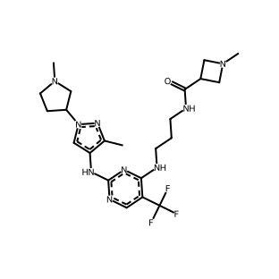 Cc1nn(C2CCN(C)C2)cc1Nc1ncc(C(F)(F)F)c(NCCCNC(=O)C2CN(C)C2)n1